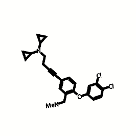 CNCc1cc(C#CCCN(C2CC2)C2CC2)ccc1Oc1ccc(Cl)c(Cl)c1